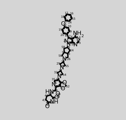 Nc1ncnc2c1c(-c1ccc(Oc3ccccc3)cc1)nn2C1CC2CN(C3CN(C4CN(c5cnc(C(=O)NC6CCC(=O)NC6=O)c6c5OCO6)C4)C3)CC2C1